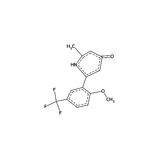 COc1ccc(C(F)(F)F)cc1-c1cc(=O)cc(C)[nH]1